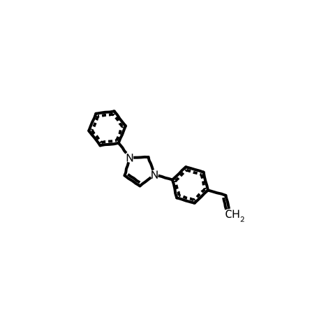 C=Cc1ccc(N2C=CN(c3ccccc3)C2)cc1